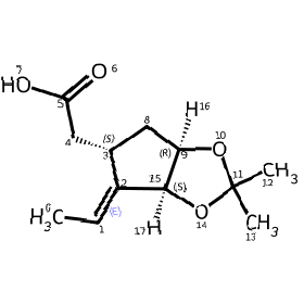 C/C=C1\[C@H](CC(=O)O)C[C@H]2OC(C)(C)O[C@@H]12